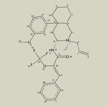 C=CC[N@+]1(C)CC2CCCCC2(c2cccc(OC)c2)C[C@H]1NC(=O)C(=Cc1ccccc1)OC(F)(F)F